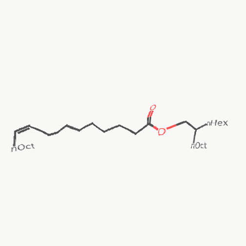 CCCCCCCC/C=C\CCCCCCCC(=O)OCC(CCCCCC)CCCCCCCC